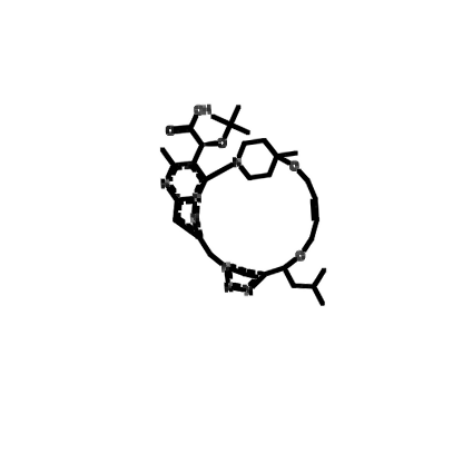 Cc1nc2cc3nn2c(c1[C@H](OC(C)(C)C)C(=O)O)N1CCC(C)(CC1)OCC=CCOC(CC(C)C)c1cn(nn1)C3